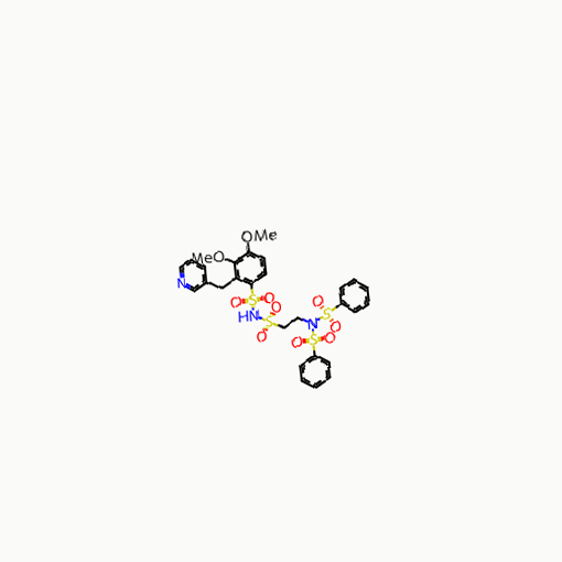 COc1ccc(S(=O)(=O)NS(=O)(=O)CCN(S(=O)(=O)c2ccccc2)S(=O)(=O)c2ccccc2)c(Cc2cccnc2)c1OC